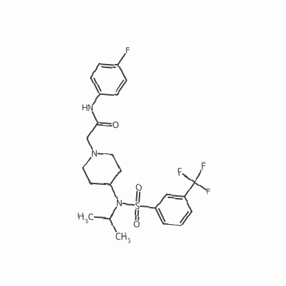 CC(C)N(C1CCN(CC(=O)Nc2ccc(F)cc2)CC1)S(=O)(=O)c1cccc(C(F)(F)F)c1